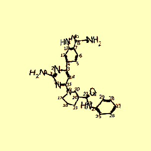 Nc1nc(-c2ccc3c(N)n[nH]c3c2)cc(N2CCC[C@H](C(=O)Nc3ccccc3)C2)n1